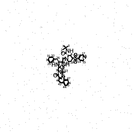 CC(C)(C)NC(=O)[C@@H]1C[C@H](S(=O)(=O)c2ccncc2)CCN1C[C@@H](O)[C@H](Cc1ccccc1)NC(=O)CN(C(=O)c1ccc2ccccc2n1)C(C)(C)C